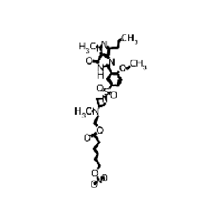 CCCc1nn(C)c2c(=O)[nH]c(-c3cc(S(=O)(=O)N4CC(N(C)CCOC(=O)CCCCCO[N+](=O)[O-])C4)ccc3OCC)nc12